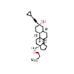 CSCC(=O)[C@H]1CC[C@H]2[C@@H]3CC[C@@H]4C[C@@](O)(C#CC5CC5)CC[C@@H]4[C@H]3CC[C@]12C